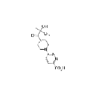 CC(O)(C(=O)N1CCN(c2ccc(C(=O)O)nn2)CC1)C(F)(F)F